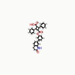 O=C1CCc2ccc(-c3cccc(OC(=O)C4C(c5ccccc5)C(C(=O)O)[C@H]4c4ccccc4)c3)cc2N1